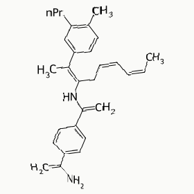 C=C(N)c1ccc(C(=C)N/C(C/C=C\C=C/C)=C(\C)c2ccc(C)c(CCC)c2)cc1